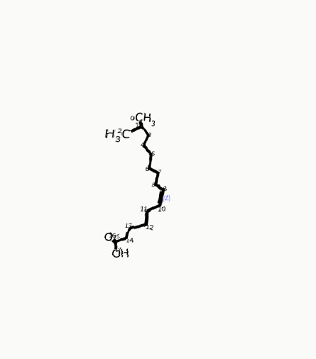 CC(C)CCCCCC/C=C\CCCCC(=O)O